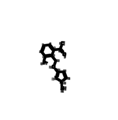 CC(C)c1cccc(C(=O)Cl)c1COc1ccn(S)n1